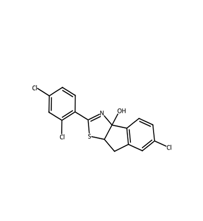 OC12N=C(c3ccc(Cl)cc3Cl)SC1Cc1cc(Cl)ccc12